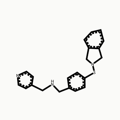 c1ccc2c(c1)CN(Sc1ccc(CNCc3ccncc3)cc1)C2